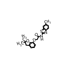 Cc1ccc2nc(NC(=O)COc3cccc4c3OC(C)(C)C4)sc2c1